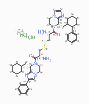 Cl.Cl.Cl.Cl.N[C@@H](CSSC[C@H](N)C(=O)N1CCn2cc(-c3ccccc3)nc2[C@@H]1CC1CCCCC1)C(=O)N1CCn2ccnc2[C@@H]1CC1CCCCC1c1ccccc1